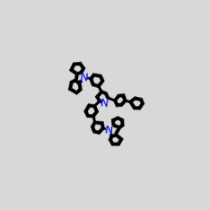 c1ccc(-c2ccc(-c3cc(-c4cccc(-n5c6ccccc6c6ccccc65)c4)cc(-c4cccc(-c5cccc(-n6c7ccccc7c7ccccc76)c5)c4)n3)cc2)cc1